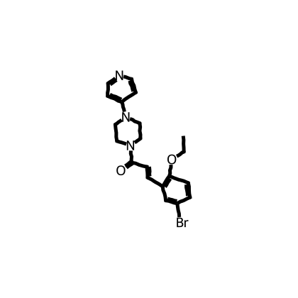 CCOc1ccc(Br)cc1C=CC(=O)N1CCN(c2ccncc2)CC1